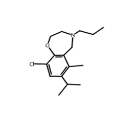 CCCN1CCOc2c(Cl)cc(C(C)C)c(C)c2C1